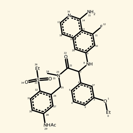 CCOc1cccc(C(Nc2cc(F)c3c(N)nccc3c2)C(=O)N(C)Cc2cc(NC(C)=O)ccc2S(=O)(=O)CC)c1